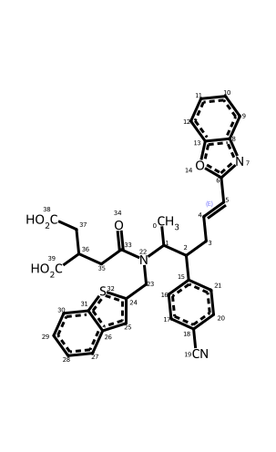 CC(C(C/C=C/c1nc2ccccc2o1)c1ccc(C#N)cc1)N(Cc1cc2ccccc2s1)C(=O)CC(CC(=O)O)C(=O)O